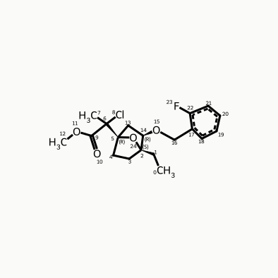 CC[C@]12CC[C@](C(C)(Cl)C(=O)OC)(C[C@H]1OCc1ccccc1F)O2